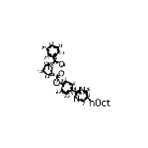 CCCCCCCCc1cnc(-c2ccc(OC(=O)[C@@H]3CCCN3C(=O)c3ccccc3)cc2)nc1